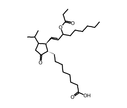 CCCCCCC(C=C[C@@H]1C(C(C)C)CC(=O)[C@H]1CCCCCCCC(=O)O)OC(=O)CC